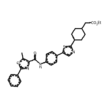 CCOC(=O)CC1CCC(c2ncc(-c3ccc(NC(=O)c4nc(-c5ccccc5)oc4C)cc3)s2)CC1